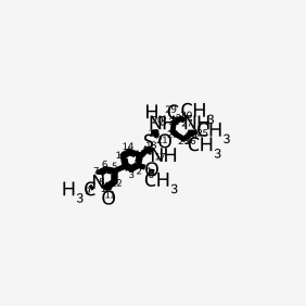 COc1cc(-c2ccn(C)c(=O)c2)ccc1C(=N)SC(=N)OC1CC(C)(C)NC(C)(C)C1